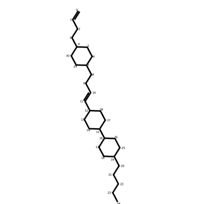 C=CCCC1CCC(CC/C=C/C2CCC(C3CCC(CCCCC)CC3)CC2)CC1